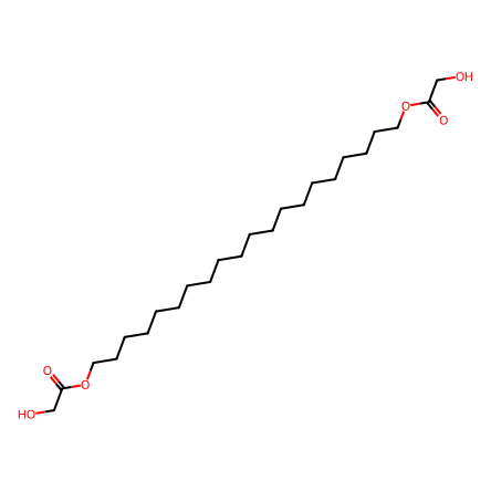 O=C(CO)OCCCCCCCCCCCCCCCCCCCCOC(=O)CO